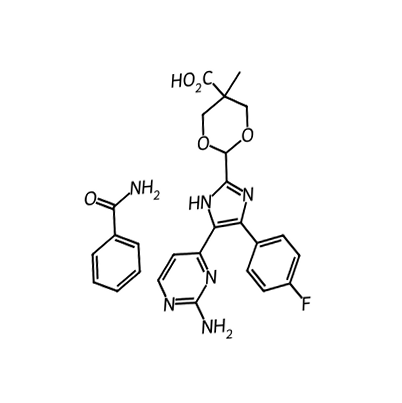 CC1(C(=O)O)COC(c2nc(-c3ccc(F)cc3)c(-c3ccnc(N)n3)[nH]2)OC1.NC(=O)c1ccccc1